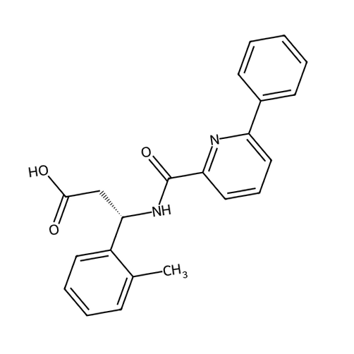 Cc1ccccc1[C@H](CC(=O)O)NC(=O)c1cccc(-c2ccccc2)n1